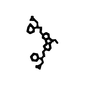 CCn1c2ccc(/C=N/N(CC3CO3)c3ccccc3)cc2c2cc(/C=N/N(CC3CO3)c3ccccc3)ccc21